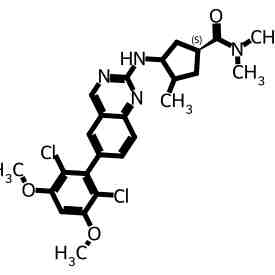 COc1cc(OC)c(Cl)c(-c2ccc3nc(NC4C[C@@H](C(=O)N(C)C)CC4C)ncc3c2)c1Cl